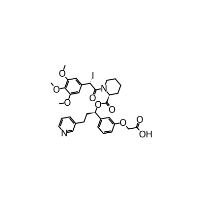 COc1cc([C@H](I)C(=O)N2CCCC[C@H]2C(=O)O[C@H](CCc2cccnc2)c2cccc(OCC(=O)O)c2)cc(OC)c1OC